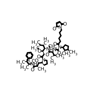 CC[C@H](C)[C@@H]([C@@H](CC(=O)N1CCC[C@H]1[C@H](OC)[C@@H](C)C(=O)N[C@H](C)[C@@H](C)c1ccccc1)OC)N(C)C(=O)[C@@H](NC(=O)N(C(=O)CCCCCN1C(=O)C=CC1=O)C1CCC(C)[C@@H]1C)C(C)C